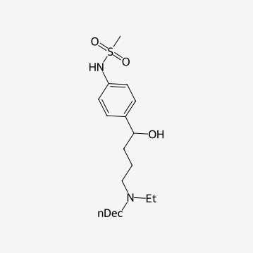 CCCCCCCCCCN(CC)CCCC(O)c1ccc(NS(C)(=O)=O)cc1